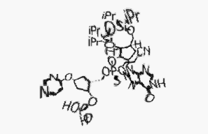 CC(C)[Si]1(C(C)C)OC[C@H]2C[C@@H](n3nnc4c(=O)[nH]cnc43)[C@H](O[P@](=S)(OCCC#N)OC[C@H]3C[C@@H](Oc4ccncn4)C[C@@H]3O[PH](=O)O)[C@@H]2O[Si](C(C)C)(C(C)C)O1